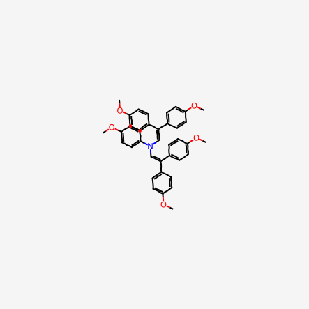 COc1ccc(C(=CN(C=C(c2ccc(OC)cc2)c2ccc(OC)cc2)c2ccc(OC)cc2)c2ccc(OC)cc2)cc1